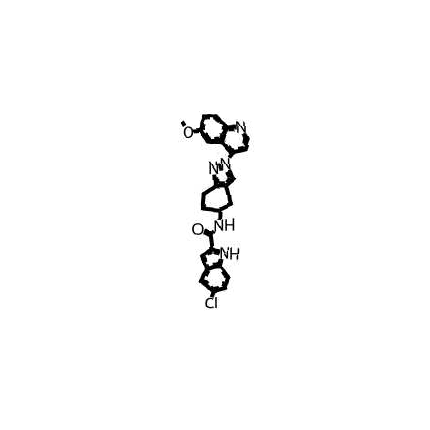 COc1ccc2nccc(-n3cc4c(n3)CCC(NC(=O)c3cc5cc(Cl)ccc5[nH]3)C4)c2c1